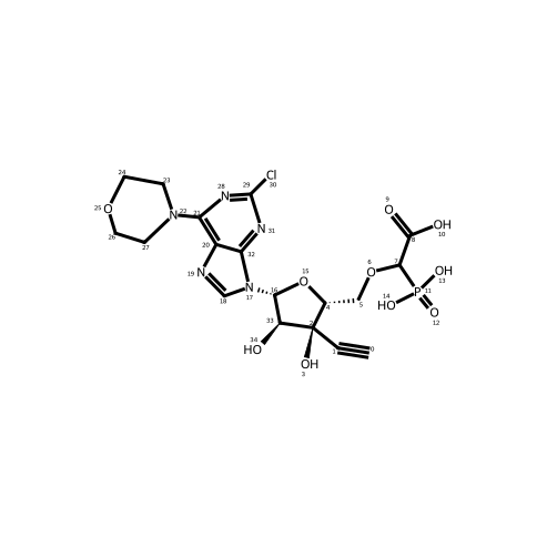 C#C[C@@]1(O)[C@@H](COC(C(=O)O)P(=O)(O)O)O[C@@H](n2cnc3c(N4CCOCC4)nc(Cl)nc32)[C@@H]1O